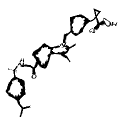 Cc1c(C)n(Cc2ccc(C3(C(=O)O)CC3)cc2)c2ccc(C(=O)N[C@@H](C)c3ccc(C(C)C)cc3)cc12